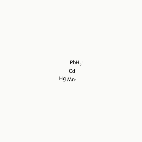 [Cd].[Hg].[Mn].[PbH2]